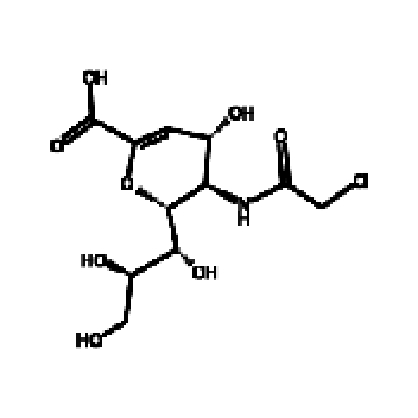 O=C(CCl)N[C@H]1[C@H]([C@H](O)[C@H](O)CO)OC(C(=O)O)=C[C@@H]1O